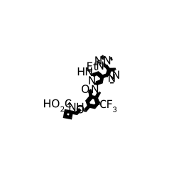 CCNc1cc(-c2c(-c3nncn3C)cnn2C)cc(N2Cc3c(cc(COCC4(NC(=O)O)CCC4)cc3C(F)(F)F)C2=O)n1